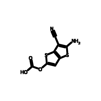 N#Cc1c(N)sc2cc(OC(=O)O)sc12